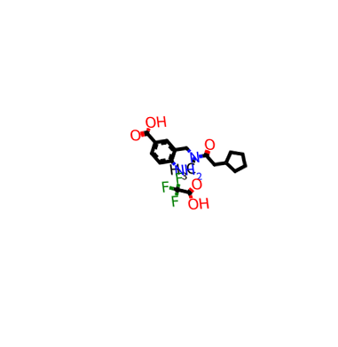 CN(Cc1cc(C(=O)O)ccc1N)C(=O)CC1CCCC1.O=C(O)C(F)(F)F